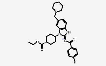 CCOC(=O)[C@H]1CC[C@@H](n2/c(=N/C(=O)c3ccc(F)cc3)[nH]c3ccc(CN4CCCCC4)cc32)CC1